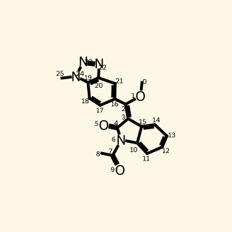 COC(=C1C(=O)N(C(C)=O)c2ccccc21)c1ccc2c(c1)nnn2C